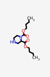 CCCCOC(=O)C1CNCCN1C(=O)OCCCC